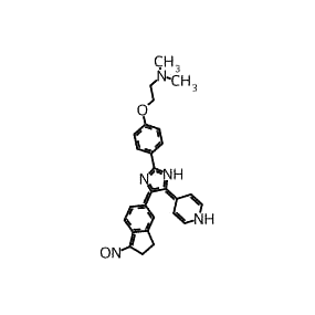 CN(C)CCOc1ccc(-c2n/c(=c3\ccc4c(c3)CCC=4N=O)c(=C3C=CNC=C3)[nH]2)cc1